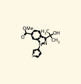 COC(=O)c1ccc2c(C(C)(C)O)nn(-c3ccsc3)c2c1